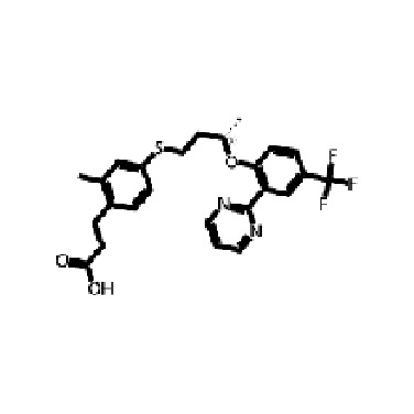 Cc1cc(SCC[C@H](C)Oc2ccc(C(F)(F)F)cc2-c2ncccn2)ccc1CCC(=O)O